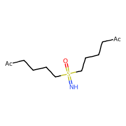 CC(=O)CCCCS(=N)(=O)CCCCC(C)=O